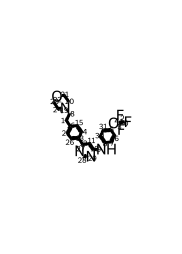 FC(F)(F)Oc1ccc(Nc2cc(-c3ccc(CCN4CCOCC4)cc3)ncn2)cc1